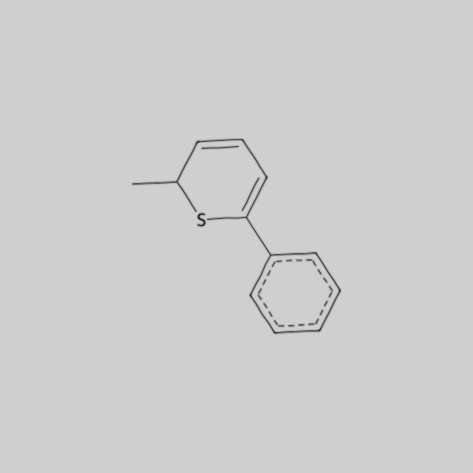 CC1C=CC=C(c2ccccc2)S1